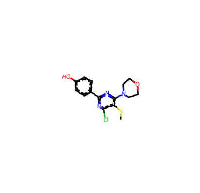 CSc1c(Cl)nc(-c2ccc(O)cc2)nc1N1CCOCC1